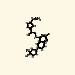 Cc1nc(SCC(=O)c2ccc(CN)s2)c2cc(N3CCC(F)(F)C3)ccc2n1